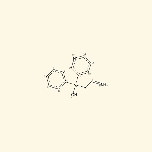 C=CCC(O)(c1ccccc1)c1cccnc1